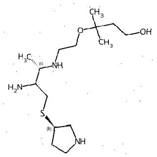 C[C@H](NCCOC(C)(C)CCO)C(N)CS[C@@H]1CCNC1